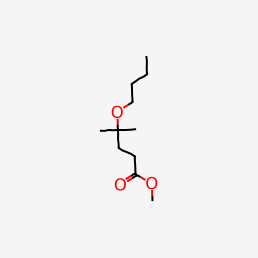 CCCCOC(C)(C)CCC(=O)OC